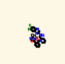 Cc1noc(-c2ccccc2C(=O)N2CCCCC2CNc2cnc3cc(F)c(F)cc3n2)n1